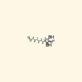 B=C1C=C(CCCCCCCI)C(=B)/C1=C/C